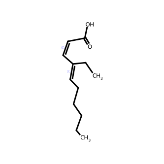 CCCCC/C=C(/C=C\C(=O)O)CC